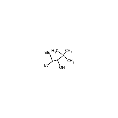 CCCCC(CC)C(O)[Si](C)(C)C